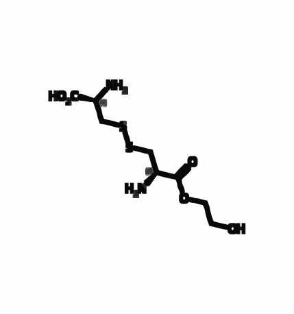 N[C@@H](CSSC[C@H](N)C(=O)OCCO)C(=O)O